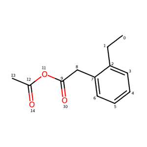 CCc1ccccc1CC(=O)OC(C)=O